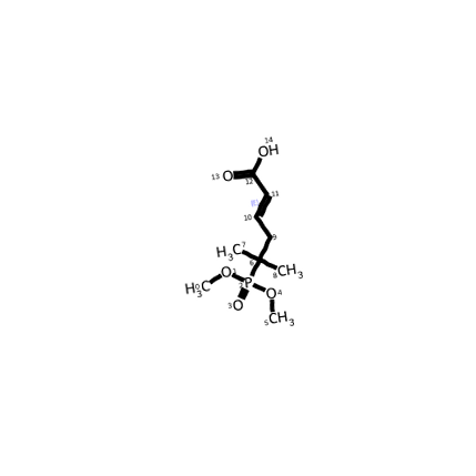 COP(=O)(OC)C(C)(C)C/C=C/C(=O)O